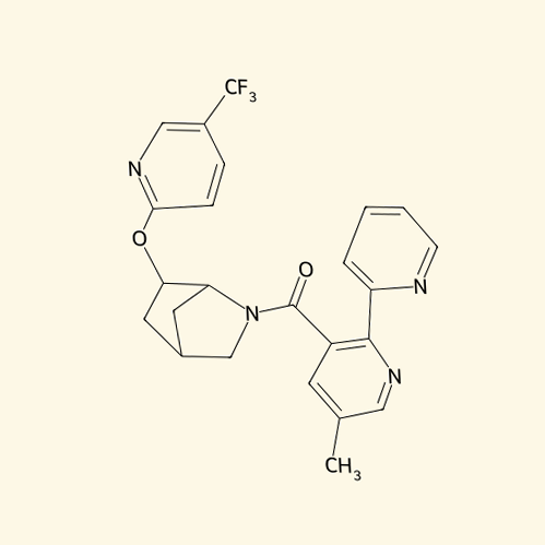 Cc1cnc(-c2ccccn2)c(C(=O)N2CC3CC(Oc4ccc(C(F)(F)F)cn4)C2C3)c1